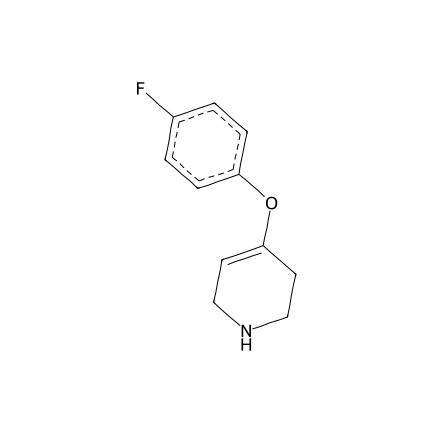 Fc1ccc(OC2=CCNCC2)cc1